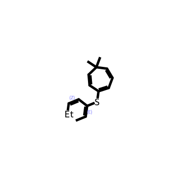 C/C=C(\C=C/CC)SC1=CC=CC(C)(C)C=C1